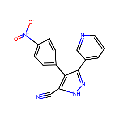 N#Cc1[nH]nc(-c2cccnc2)c1-c1ccc([N+](=O)[O-])cc1